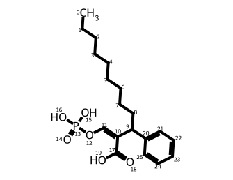 CCCCCCCCCC(C(=COP(=O)(O)O)C(=O)O)c1ccccc1